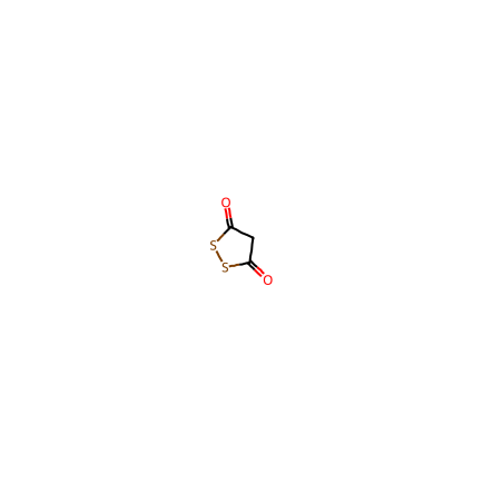 O=C1CC(=O)SS1